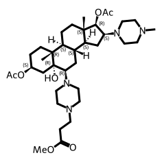 COC(=O)CCN1CCN([C@@H]2C[C@H]3[C@@H]4C[C@H](N5CCN(C)CC5)[C@H](OC(C)=O)[C@@]4(C)CC[C@@H]3[C@@]3(C)CC[C@H](OC(C)=O)C[C@]23O)CC1